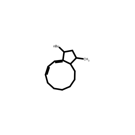 CCCCC1CC(C)C2CCCCCCC=CC=C12